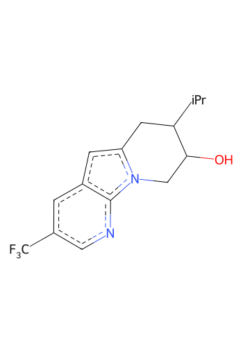 CC(C)C1Cc2cc3cc(C(F)(F)F)cnc3n2CC1O